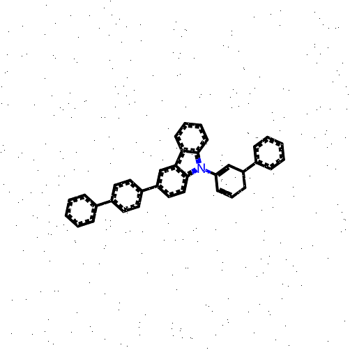 C1=CC(n2c3ccccc3c3cc(-c4ccc(-c5ccccc5)cc4)ccc32)=CC(c2ccccc2)C1